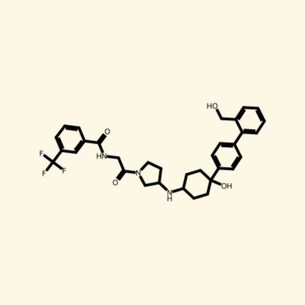 O=C(NCC(=O)N1CCC(NC2CCC(O)(c3ccc(-c4ccccc4CO)cc3)CC2)C1)c1cccc(C(F)(F)F)c1